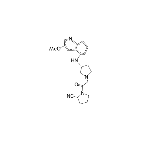 COc1cnc2cccc(N[C@@H]3CCN(CC(=O)N4CCCC4C#N)C3)c2c1